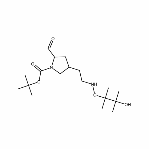 CC(C)(C)OC(=O)N1CC(CCNOC(C)(C)C(C)(C)O)CC1C=O